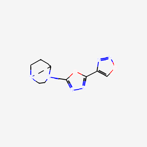 c1onnc1-c1nnc(N2CCN3CCC2CC3)o1